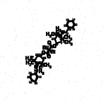 CCC(CC)(C(=O)OC1CC(C)(C)N(OCc2ccccc2)C(C)(C)C1)C(=O)OC1CC(C)(C)N(OCc2ccccc2)C(C)(C)C1